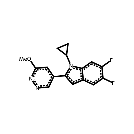 COc1cc(-c2cc3cc(F)c(F)cc3n2C2CC2)cnn1